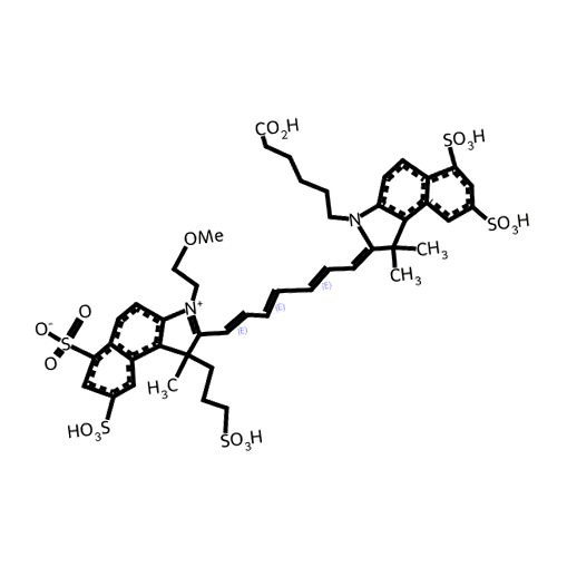 COCC[N+]1=C(/C=C/C=C/C=C/C=C2N(CCCCCC(=O)O)c3ccc4c(S(=O)(=O)O)cc(S(=O)(=O)O)cc4c3C2(C)C)C(C)(CCCS(=O)(=O)O)c2c1ccc1c(S(=O)(=O)[O-])cc(S(=O)(=O)O)cc21